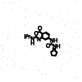 CC(C)Nc1nc2cc(NC(=O)NN3CCCC3)ccc2c(=O)o1